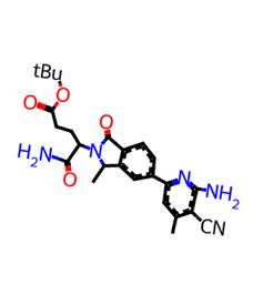 Cc1cc(-c2ccc3c(c2)C(C)N(C(CCC(=O)OC(C)(C)C)C(N)=O)C3=O)nc(N)c1C#N